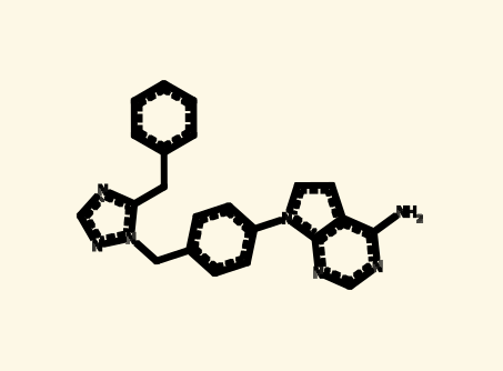 Nc1ncnc2c1ccn2-c1ccc(Cn2ncnc2Cc2ccccc2)cc1